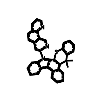 CC1(C)c2ccccc2Sc2c1c1ccccc1c1c3ccccc3n(-c3cc4ccc5cccnc5c4cn3)c21